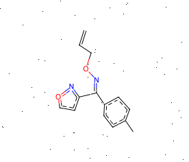 C=CCO/N=C(/c1ccc(C)cc1)c1ccon1